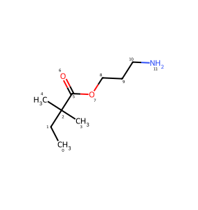 CCC(C)(C)C(=O)OCCCN